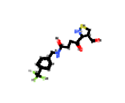 O=C[C@@H]1CSNC1C(=O)CCC(=O)NCc1ccc(C(F)(F)F)cc1